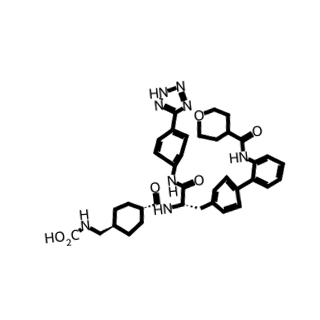 O=C(O)NC[C@H]1CC[C@H](C(=O)N[C@@H](Cc2ccc(-c3ccccc3NC(=O)C3CCOCC3)cc2)C(=O)Nc2ccc(-c3nn[nH]n3)cc2)CC1